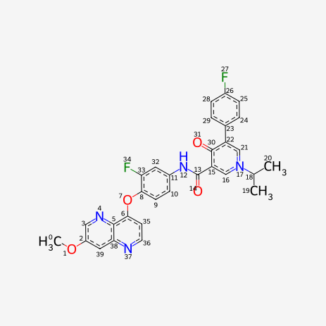 COc1cnc2c(Oc3ccc(NC(=O)c4cn(C(C)C)cc(-c5ccc(F)cc5)c4=O)cc3F)ccnc2c1